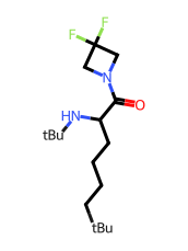 CC(C)(C)CCCCC(NC(C)(C)C)C(=O)N1CC(F)(F)C1